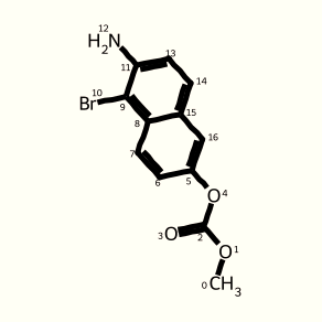 COC(=O)Oc1ccc2c(Br)c(N)ccc2c1